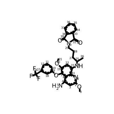 COc1cc(N)c2c(Oc3cccc(C(F)(F)F)c3)c(OC)cc(NC(C)CCCN3C(=O)c4ccccc4C3=O)c2n1